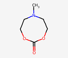 CN1CCOC(=O)OCC1